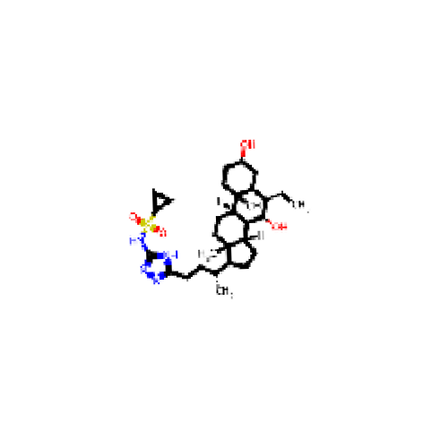 CC[C@@H]1C2C[C@H](O)CCC2(C)[C@H]2CCC3(C)C([C@H](C)CCc4nnc(NS(=O)(=O)C5CC5)[nH]4)CC[C@H]3C2[C@@H]1O